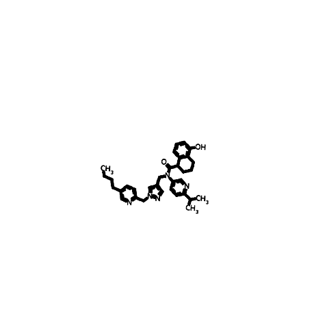 CCCCc1ccc(Cn2cc(CN(C(=O)C3CCCc4c(O)cccc43)c3ccc(C(C)C)nc3)cn2)nc1